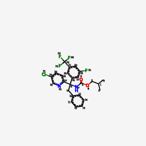 CC(C)COC(=O)NC(Cc1ccccc1)(c1cc(F)cc(C(F)(F)F)c1)c1ccc(Cl)cn1